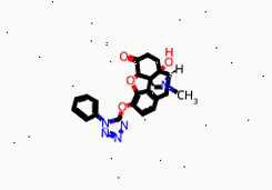 CN1CC[C@]23c4c5ccc(Oc6nnnn6-c6ccccc6)c4OC2C(=O)CCC3(O)[C@H]1C5